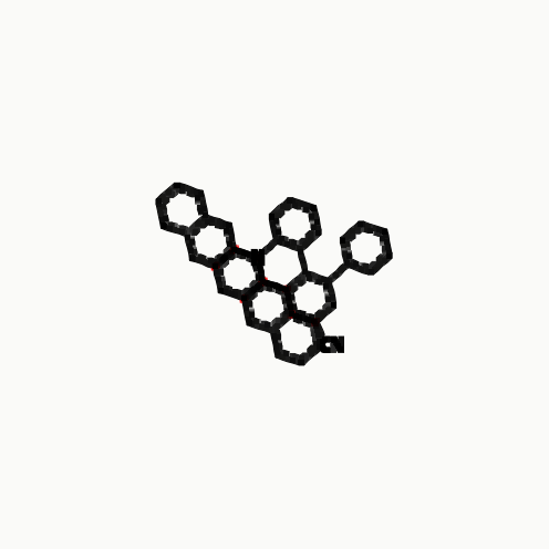 N#Cc1cc(-c2ccccc2)c(-c2ccccc2N(c2ccc3ccccc3c2)c2ccc3ccccc3c2)c(-c2ccccc2)c1